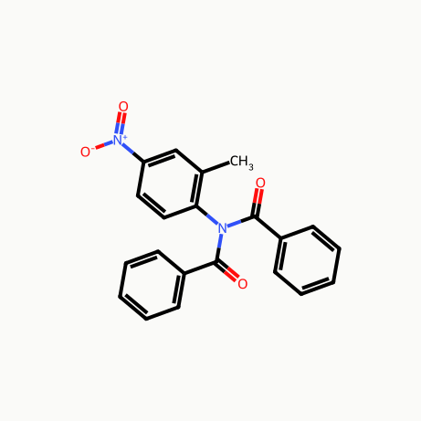 Cc1cc([N+](=O)[O-])ccc1N(C(=O)c1ccccc1)C(=O)c1ccccc1